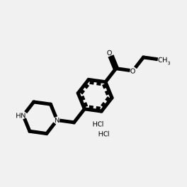 CCOC(=O)c1ccc(CN2CCNCC2)cc1.Cl.Cl